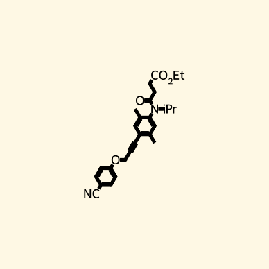 CCOC(=O)CCC(=O)N(c1cc(C)c(C#CCOc2ccc(C#N)cc2)cc1C)C(C)C